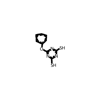 Sc1nc(S)nc(Oc2ccccc2)n1